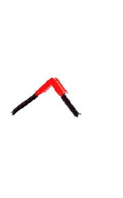 [Ir].[Ir].[Ir].[Ir].[Ir].[Ir].[Ir].[Ir].[Ir].[Ir].[Ir].[Ir].[Ir].[Ir].[Ir].[Ir].[Ir].[Ir].[Ir].[Ir].[Ir].[Ir].[Ir].[Ir].[Ir].[Ir].[Ir].[Ir].[Ir].[Ir].[Ir].[Ir].[Ir].[Ir].[Ir].[Ir].[Ir].[Ir].[Ir].[Ir].[Ir].[Ir].[Ir].[Ir].[Ir].[Ir].[Ir].[Ir].[Ir].[Ir].[Ir].[Ir].[Ir].[Ir].[Ir].[Ir].[Ir].[Ir].[Ir].[Ir].[O-2].[O-2].[O-2].[O-2].[O-2].[O-2].[O-2].[O-2].[O-2].[O-2].[O-2].[O-2].[O-2].[O-2].[O-2].[O-2].[O-2].[O-2].[O-2].[O-2].[O-2].[O-2].[O-2].[O-2].[O-2].[O-2].[O-2].[O-2].[O-2].[O-2].[O-2].[O-2].[O-2].[O-2].[O-2].[O-2].[O-2].[O-2].[O-2].[O-2]